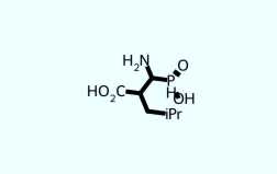 CC(C)CC(C(=O)O)C(N)[PH](=O)O